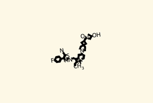 CCc1nn2ccc(N3CCC4(CC3)CC(C(=O)N3CC(O)C3)C4)cc2c1CNc1nc(-c2ccc(F)cc2)c(C#N)s1